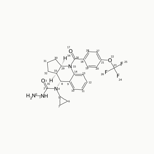 NNC(=O)N(C1CC1)[C@H]1c2ccccc2N(C(=O)c2ccc(OC(F)(F)F)cc2)[C@@H]2CCC[C@@H]21